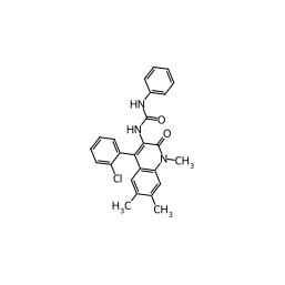 Cc1cc2c(-c3ccccc3Cl)c(NC(=O)Nc3ccccc3)c(=O)n(C)c2cc1C